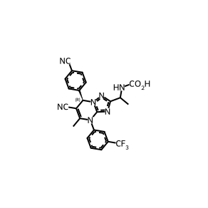 CC1=C(C#N)[C@@H](c2ccc(C#N)cc2)n2nc(C(C)NC(=O)O)nc2N1c1cccc(C(F)(F)F)c1